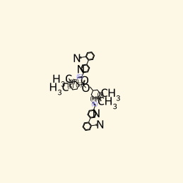 C[C@H]1[C@H](/C=C/c2ccc(-c3ccccc3C#N)cn2)[C@@H](C(=O)OCC2C[C@@H](/C=C/c3ccc(-c4ccccc4C#N)cn3)[C@H](C)[C@@H](C)C2)CC[C@@H]1C